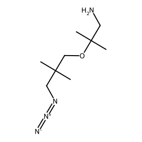 CC(C)(CN=[N+]=[N-])COC(C)(C)CN